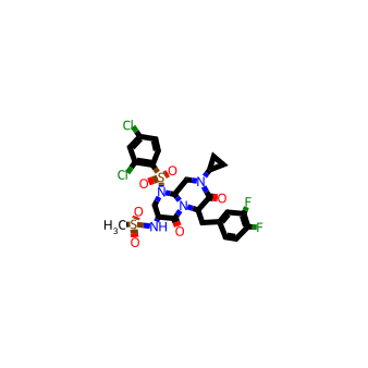 CS(=O)(=O)NC1CN(S(=O)(=O)c2ccc(Cl)cc2Cl)C2CN(C3CC3)C(=O)C(Cc3ccc(F)c(F)c3)N2C1=O